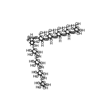 O=C1NS(=O)(=O)c2ccccc21.OC[C@H]1OC(O)[C@H](O)[C@@H](O)[C@@H]1O.OC[C@H]1OC(O)[C@H](O)[C@@H](O)[C@@H]1O.OC[C@H]1OC(O)[C@H](O)[C@@H](O)[C@@H]1O.OC[C@H]1OC(O)[C@H](O)[C@@H](O)[C@@H]1O.OC[C@H]1OC(O)[C@H](O)[C@@H](O)[C@@H]1O.OC[C@H]1OC(O)[C@H](O)[C@@H](O)[C@@H]1O.OC[C@H]1OC(O)[C@H](O)[C@@H](O)[C@@H]1O.OC[C@H]1OC(O)[C@H](O)[C@@H](O)[C@@H]1O.OC[C@H]1OC(O)[C@H](O)[C@@H](O)[C@@H]1O